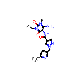 CCn1c(N)c(NC(=O)c2cnn(Cc3ccc(C(F)(F)F)nc3)c2)c(=O)n(CC(C)C)c1=O